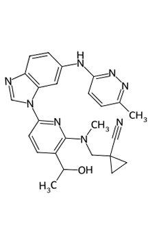 Cc1ccc(Nc2ccc3ncn(-c4ccc(C(C)O)c(N(C)CC5(C#N)CC5)n4)c3c2)nn1